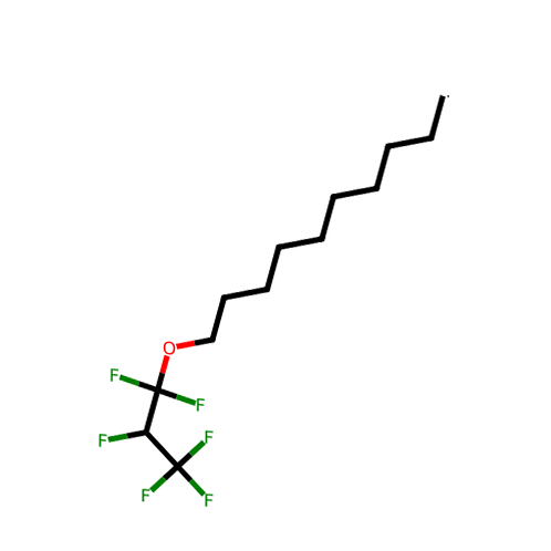 [CH2]CCCCCCCCCOC(F)(F)C(F)C(F)(F)F